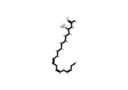 CC/C=C\C/C=C\C/C=C\CCCCCCCC(O)CC(C)=S